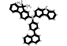 CC1(C)c2ccccc2-c2ccc(N(c3ccc(-c4cccc5ccccc45)cc3)c3ccc4sc5ccccc5c4c3)cc21